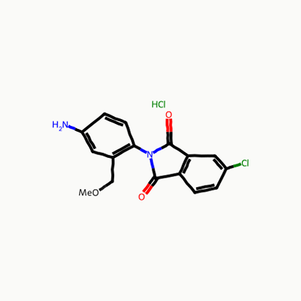 COCc1cc(N)ccc1N1C(=O)c2ccc(Cl)cc2C1=O.Cl